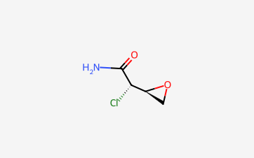 NC(=O)[C@@H](Cl)[C@@H]1CO1